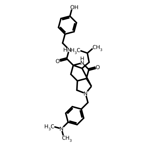 CC(C)CC1C2C3C(=O)NC1(C(=O)NCc1ccc(O)cc1)CC3CN2Cc1ccc(N(C)C)cc1